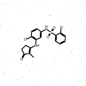 CC1=C(Nc2cc(NS(=O)(=O)c3ccccc3Cl)ccc2Cl)CCC1=O